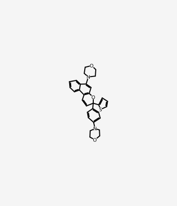 C1=CC(c2ccc(N3CCOCC3)cc2)(c2cccs2)Oc2cc(N3CCOCC3)c3ccccc3c21